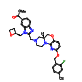 COC(=O)c1ccc2nc(CN3CCN4c5nc(OCc6ccc(C#N)cc6F)ccc5OC[C@H]4C3)n(C[C@@H]3CCO3)c2c1